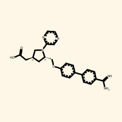 N=C(N)c1ccc(-c2ccc(OC[C@@H]3C[C@@H](CC(=O)O)CN3c3cnccn3)cc2)cc1